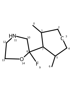 CC1CCCC(C)C1C1(F)CNCCO1